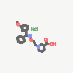 COc1cccc(C(=NOCCN2CCC=C(C(=O)O)C2)c2ccccc2)c1.Cl